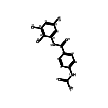 CC(C)C(=O)Nc1ccc(C(=O)Oc2cc(Cl)cc(Cl)c2Cl)cc1